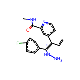 C=C/C(=C(\NN)c1ccc(F)cc1)c1ccnc(C(=O)NC)c1